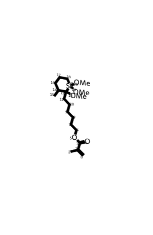 C=C(C)C(=O)OCCCCCCC1(OC)C(C)CCC[Si]1(OC)OC